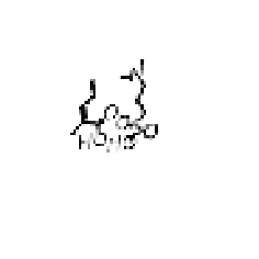 CCC=C(C)C(=O)O.CN(C)CCCS(=O)(=O)O